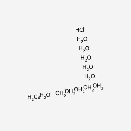 Cl.O.O.O.O.O.O.O.O.O.O.O.[CaH2]